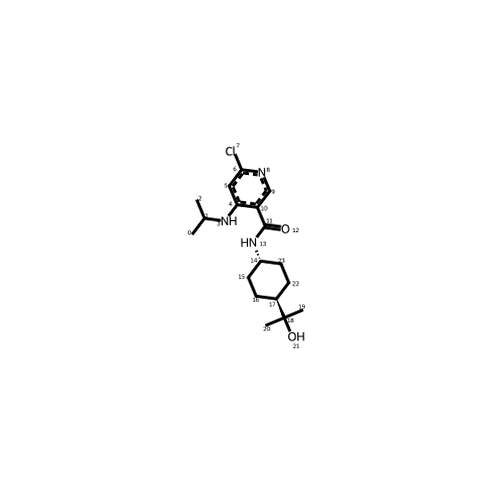 CC(C)Nc1cc(Cl)ncc1C(=O)N[C@H]1CC[C@H](C(C)(C)O)CC1